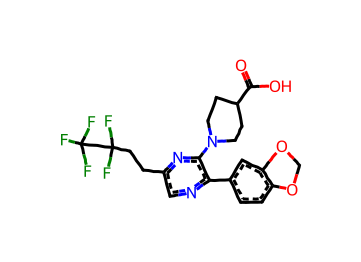 O=C(O)C1CCN(c2nc(CCC(F)(F)C(F)(F)F)cnc2-c2ccc3c(c2)OCO3)CC1